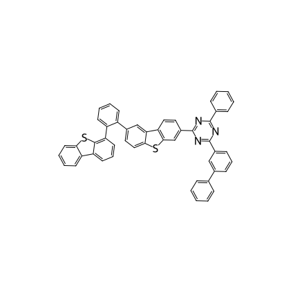 c1ccc(-c2cccc(-c3nc(-c4ccccc4)nc(-c4ccc5c(c4)sc4ccc(-c6ccccc6-c6cccc7c6sc6ccccc67)cc45)n3)c2)cc1